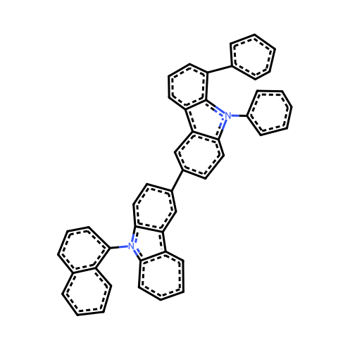 c1ccc(-c2cccc3c4cc(-c5ccc6c(c5)c5ccccc5n6-c5cccc6ccccc56)ccc4n(-c4ccccc4)c23)cc1